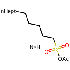 CCCCCCCCCCCCS(=O)(=O)OC(C)=O.[NaH]